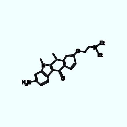 CCN(CC)CCOc1ccc2c(c1)C(C)c1c(c3ccc(N)cc3n1C)C2=O